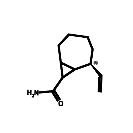 C=C[C@@H]1CCCCC2C(C(N)=O)C21